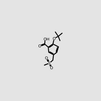 CC(C)(C)Oc1ccc(CS(C)(=O)=O)cc1C(=O)O